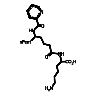 CCCCCC(CCCC(=O)NC(CCCCN)C(=O)O)NC(=O)c1ccccn1